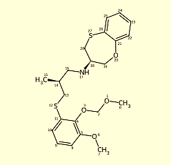 COCOc1c(OC)cccc1SC[C@@H](C)CN[C@@H]1COc2ccccc2SC1